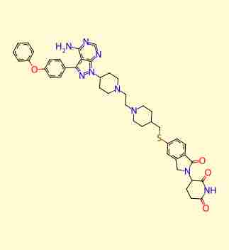 Nc1ncnc2c1c(-c1ccc(Oc3ccccc3)cc1)nn2C1CCN(CCN2CCC(CSc3ccc4c(c3)CN(C3CCC(=O)NC3=O)C4=O)CC2)CC1